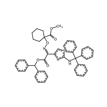 COC(=O)C1(ON=C(C(=O)OC(c2ccccc2)c2ccccc2)c2csc(NC(c3ccccc3)(c3ccccc3)c3ccccc3)n2)CCCCC1